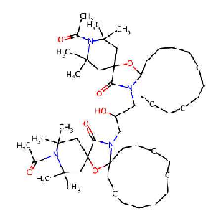 CC(=O)N1C(C)(C)CC2(CC1(C)C)OC1(CCCCCCCCCCC1)N(CC(O)CN1C(=O)C3(CC(C)(C)N(C(C)=O)C(C)(C)C3)OC13CCCCCCCCCCC3)C2=O